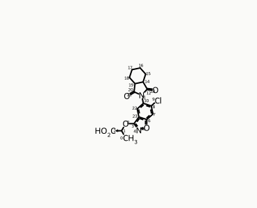 CC(Oc1noc2cc(Cl)c(N3C(=O)C4CCCCC4C3=O)cc12)C(=O)O